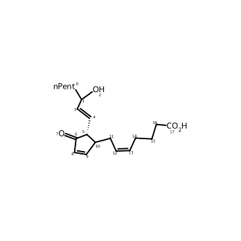 CCCCCC(O)/C=C/[C@H]1C(=O)C=CC1C/C=C\CCCC(=O)O